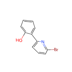 Oc1ccccc1-c1cccc(Br)n1